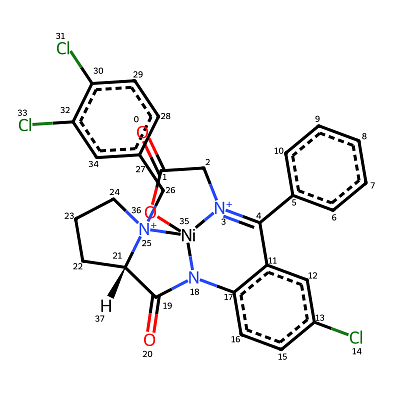 O=C1C[N+]2=C(c3ccccc3)c3cc(Cl)ccc3[N]3C(=O)[C@@H]4CCC[N+]4(Cc4ccc(Cl)c(Cl)c4)[Ni]32[O]1